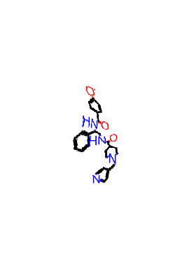 COc1ccc(C(=O)NC(CNC(=O)C2CCN(Cc3ccncc3)CC2)c2ccccc2)cc1